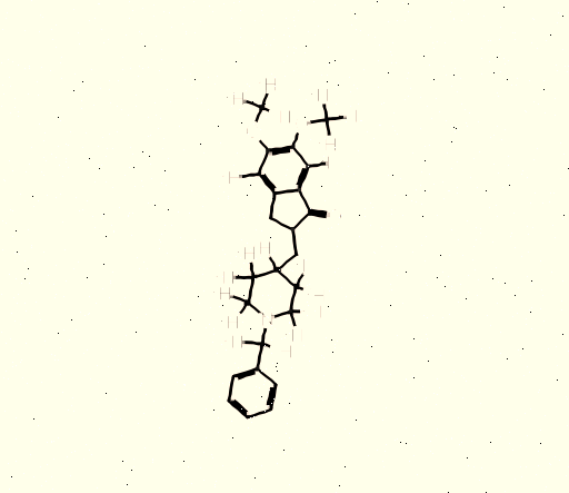 [2H]c1c2c(c([2H])c(OC([2H])([2H])[2H])c1OC([2H])([2H])[2H])C(=O)C(CC1([2H])C([2H])([2H])C([2H])([2H])N(C([2H])([2H])c3ccccc3)C([2H])([2H])C1([2H])[2H])C2